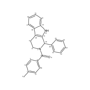 Cc1ccc(C(=O)N2CCc3c([nH]c4ccccc34)C2c2ccccc2)cc1